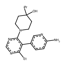 CCc1ncnc(N2CCC(O)(C(C)C)CC2)c1-c1ccc(N)nc1